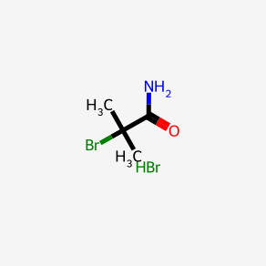 Br.CC(C)(Br)C(N)=O